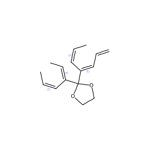 C=C/C=C(\C=C/C)C1(C(/C=C\C)=C/C)OCCO1